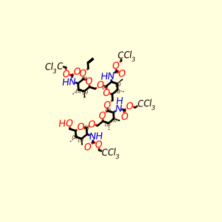 C=CCO[C@@H]1OC(CO[C@@H]2OC(CO[C@@H]3OC(CO[C@@H]4OC(CO)[C@@H](C)[C@H](C)C4NC(=O)OCC(Cl)(Cl)Cl)[C@@H](C)[C@H](C)C3NC(=O)OCC(Cl)(Cl)Cl)[C@@H](C)[C@H](C)C2NC(=O)OCC(Cl)(Cl)Cl)[C@@H](C)[C@H](C)C1NC(=O)OCC(Cl)(Cl)Cl